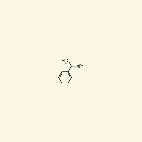 [CH2]CC[C](C)c1ccccc1